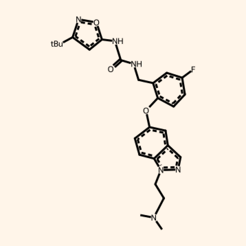 CN(C)CCn1ncc2cc(Oc3ccc(F)cc3CNC(=O)Nc3cc(C(C)(C)C)no3)ccc21